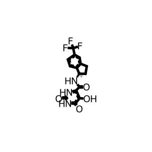 O=C(N[C@@H]1CCc2cc(C(F)(F)F)ccc21)c1[nH]c(=O)[nH]c(=O)c1O